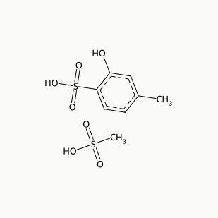 CS(=O)(=O)O.Cc1ccc(S(=O)(=O)O)c(O)c1